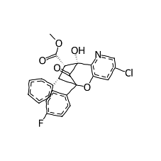 COC(=O)[C@H]1[C@@H](c2ccccc2)C2(c3ccc(F)cc3)Oc3cc(Cl)cnc3[C@@]1(O)C2=O